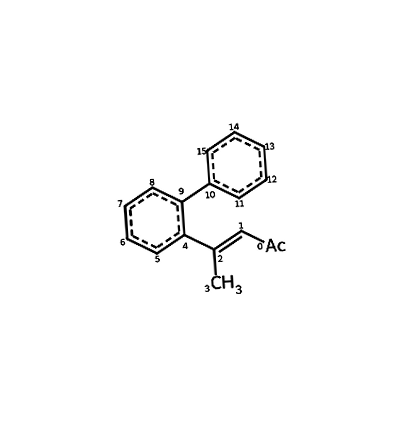 CC(=O)C=C(C)c1ccccc1-c1ccccc1